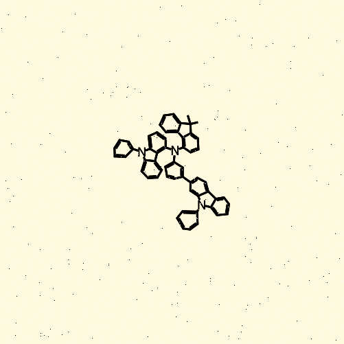 CC1(C)c2ccccc2-c2c(N(c3cccc(-c4ccc5c6ccccc6n(-c6ccccc6)c5c4)c3)c3cccc4c3c3ccccc3n4-c3ccccc3)cccc21